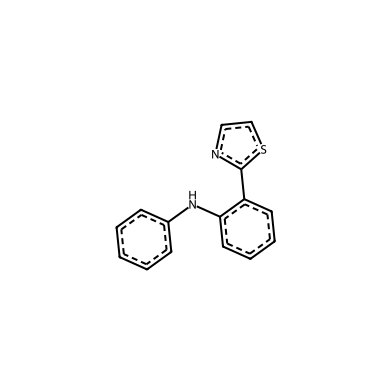 c1ccc(Nc2ccccc2-c2nccs2)cc1